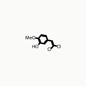 COc1ccc(C=C(Cl)Cl)cc1O